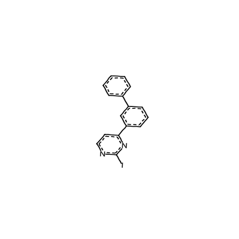 Ic1nccc(-c2cccc(-c3ccccc3)c2)n1